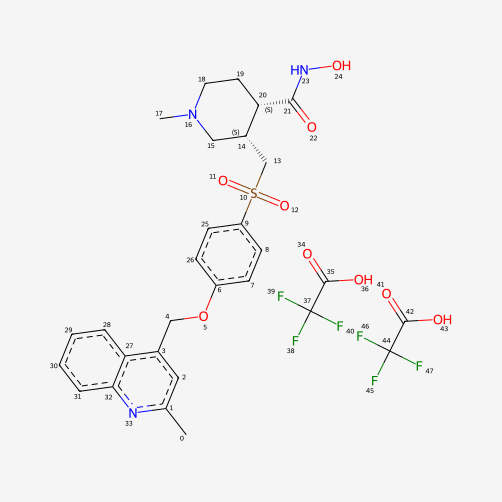 Cc1cc(COc2ccc(S(=O)(=O)C[C@@H]3CN(C)CC[C@@H]3C(=O)NO)cc2)c2ccccc2n1.O=C(O)C(F)(F)F.O=C(O)C(F)(F)F